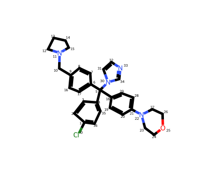 Clc1ccc(C(c2ccc(CN3CCCC3)cc2)(c2ccc(N3CCOCC3)cc2)n2ccnc2)cc1